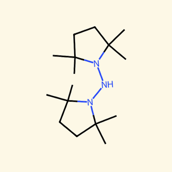 CC1(C)CCC(C)(C)N1NN1C(C)(C)CCC1(C)C